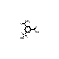 NC(=O)c1cc(C(=O)O)cc(S(=O)(=O)O)c1